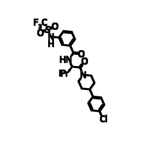 CC(C)[C@@H](NC(=O)c1cccc(NS(=O)(=O)C(F)(F)F)c1)C(=O)N1CCC(c2ccc(Cl)cc2)CC1